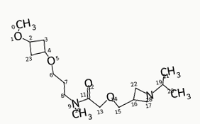 COC1CC(OCCCN(C)C(=O)COCC2CN(C(C)C)C2)C1